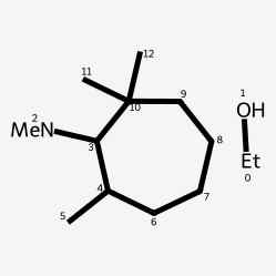 CCO.CNC1C(C)CCCCC1(C)C